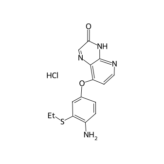 CCSc1cc(Oc2ccnc3[nH]c(=O)cnc23)ccc1N.Cl